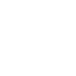 Cc1cc(F)c([N+](=O)[O-])c(C2CCCN(C)C2)c1C(=O)N(C)C